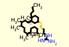 CCCCC1(C)CCC(SSCCNC(=N)N)C/C1=C/CC(C)[C@@H](C)CCC(C)C(C)CCCC(C)C